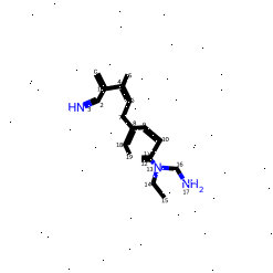 C=C(C=N)/C(C)=C\CC(/C=C\C(=C)N(CC)CN)=C/C